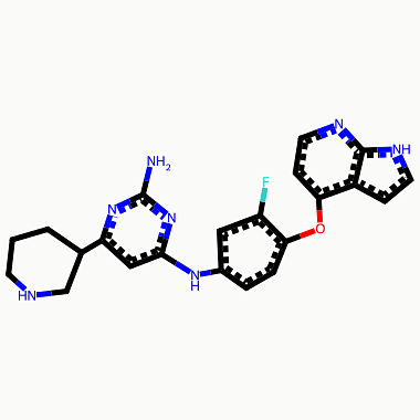 Nc1nc(Nc2ccc(Oc3ccnc4[nH]ccc34)c(F)c2)cc(C2CCCNC2)n1